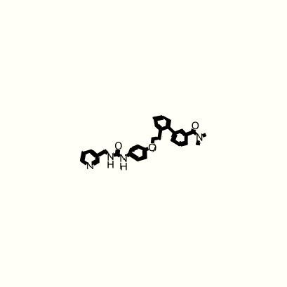 CN(C)C(=O)c1cccc(-c2ccccc2CCOc2ccc(NC(=O)NCc3cccnc3)cc2)c1